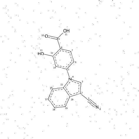 N#Cc1cn(-c2ccc(C(=O)O)c(O)c2)c2ccccc12